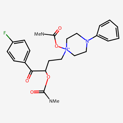 CNC(=O)OC(CC[N+]1(OC(=O)NC)CCN(c2ccccc2)CC1)C(=O)c1ccc(F)cc1